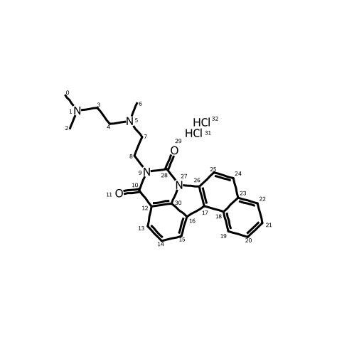 CN(C)CCN(C)CCn1c(=O)c2cccc3c4c5ccccc5ccc4n(c1=O)c23.Cl.Cl